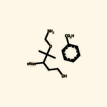 CCCCCCCCCC(CCO)C(C)(C)OCN.O=C(O)c1ccccc1